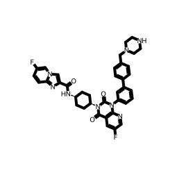 O=C(N[C@H]1CC[C@@H](n2c(=O)c3cc(F)cnc3n(-c3cccc(-c4ccc(CN5CCNCC5)cc4)c3)c2=O)CC1)c1cn2cc(F)ccc2n1